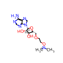 CN(C)OCCOC[C@H]1O[C@@H](n2cnc3c(N)ncnc32)[C@H](O)[C@@H]1O